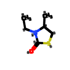 CCN1C(=O)SCC1C